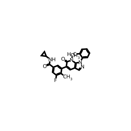 Cc1ccccc1-n1ncc2cc(-c3cc(C(=O)NC4CC4)cc(F)c3C)c(=O)n(C)c21